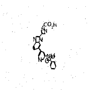 O=C(O)Cn1cc(-c2cnc3ccc(-c4cncc(NS(=O)(=O)c5ccccc5)c4)cc3n2)cn1